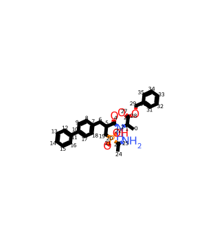 CC(NC(=O)C(Cc1ccc(-c2ccccc2)cc1)CP(=O)(O)C(C)N)C(=O)OCc1ccccc1